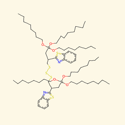 CCCCCCCCO[Si](CC(CSSSCC(C[Si](OCCCCCCCC)(OCCCCCCCC)OCCCCCCCC)c1nc2ccccc2s1)c1nc2ccccc2s1)(OCCCCCCCC)OCCCCCCCC